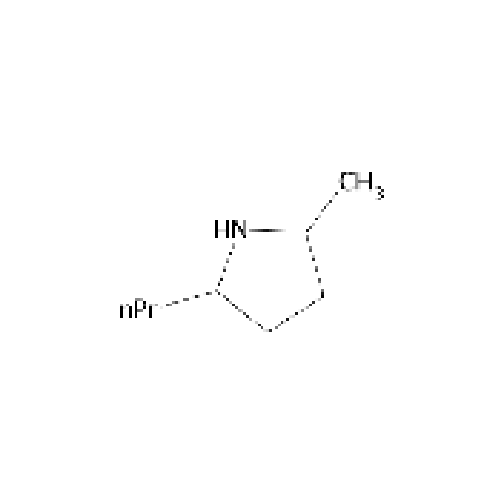 CCCC1CCC(C)N1